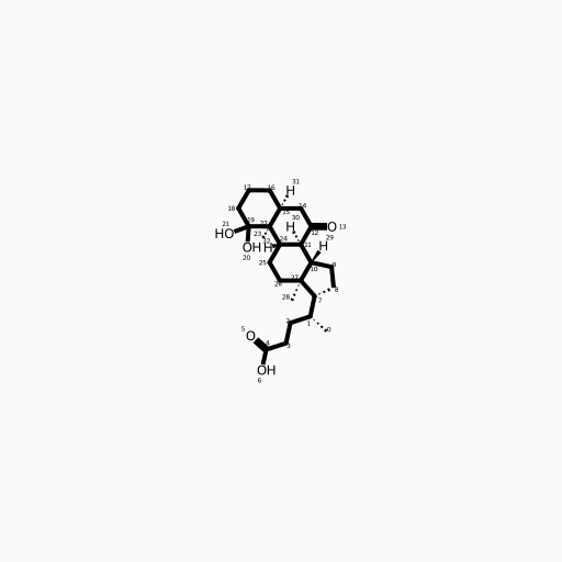 C[C@H](CCC(=O)O)[C@H]1CC[C@H]2[C@@H]3C(=O)C[C@@H]4CCCC(O)(O)[C@]4(C)[C@H]3CC[C@]12C